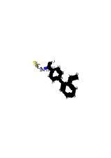 C=Cc1ccccc1-c1ccc(C(C)N=C=S)cc1